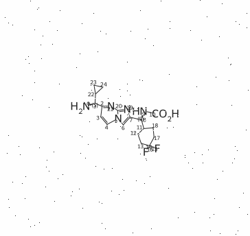 N[C@H](c1ccn2cc([C@@H](NC(=O)O)C3CCC(F)(F)CC3)nc2n1)C1CC1